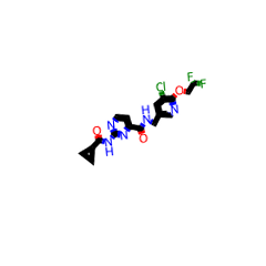 O=C(NCc1cnc(OCC(F)F)c(Cl)c1)c1ccnc(NC(=O)C2CC2)n1